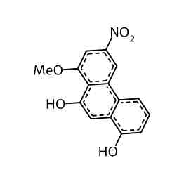 COc1cc([N+](=O)[O-])cc2c1c(O)cc1c(O)cccc12